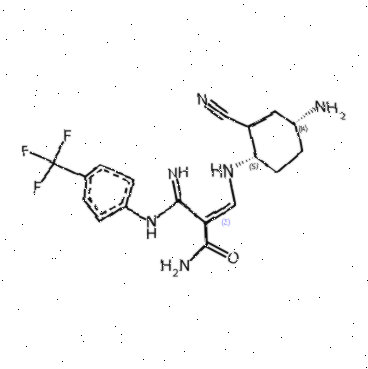 N#CC1C[C@H](N)CC[C@@H]1N/C=C(\C(=N)Nc1ccc(C(F)(F)F)cc1)C(N)=O